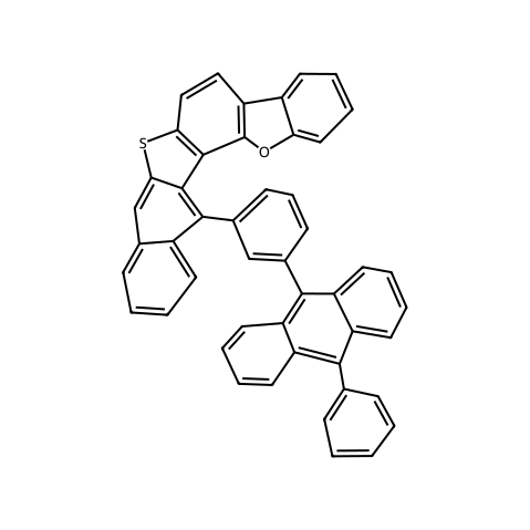 c1ccc(-c2c3ccccc3c(-c3cccc(-c4c5ccccc5cc5sc6ccc7c8ccccc8oc7c6c45)c3)c3ccccc23)cc1